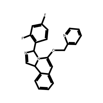 Fc1ccc(C2N=CC3c4ccccc4C=C(OCc4ccccn4)N32)c(F)c1